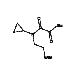 CCC(C)C(=O)C(=O)N(CCNC)C1CC1